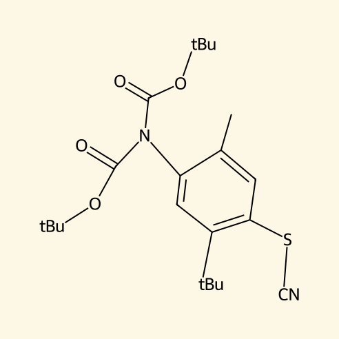 Cc1cc(SC#N)c(C(C)(C)C)cc1N(C(=O)OC(C)(C)C)C(=O)OC(C)(C)C